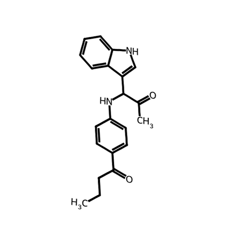 CCCC(=O)c1ccc(NC(C(C)=O)c2c[nH]c3ccccc23)cc1